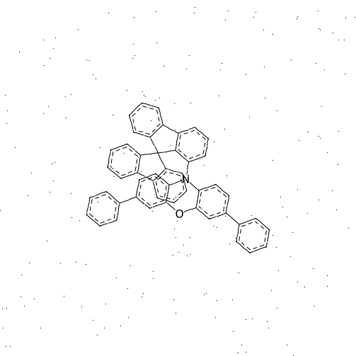 c1ccc(-c2ccc3c(c2)Oc2cc(-c4ccccc4)ccc2N3c2cccc3c2C2(c4ccccc4-c4ccccc42)c2ccccc2-3)cc1